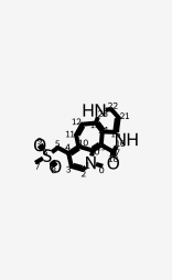 CN1C=CC(CS(C)(=O)=O)=c2ccc3c4c([nH]c(=O)c-4c21)=CCN3